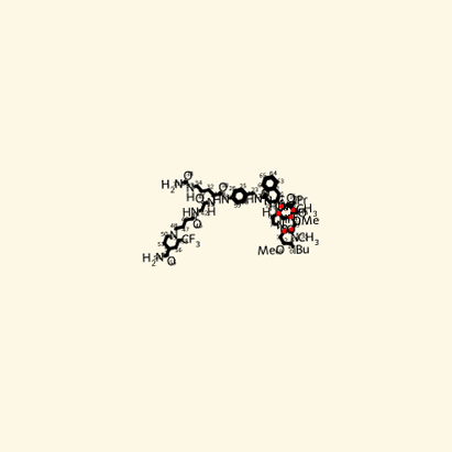 CCC(C)C(C(CC(=O)N1CCCC1C(OC)C(C)C(=O)NC(CC(=O)NCc1ccc(NC(=O)C(CCCNC(N)=O)NC(=O)CNC(=O)CCCN2CCC(C(N)=O)CC2C(F)(F)F)cc1)Cc1ccccc1)OC)N(C)C(=O)CNC(=O)C(C(C)C)N(C)C